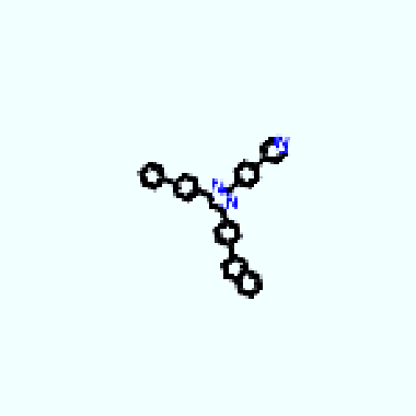 c1ccc(-c2ccc(-c3cc(-c4ccc(-c5ccc6ccccc6c5)cc4)nc(-c4ccc(-c5ccncc5)cc4)n3)cc2)cc1